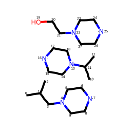 CC(C)CN1CC[N]CC1.CC(C)N1CC[N]CC1.OCCN1CC[N]CC1